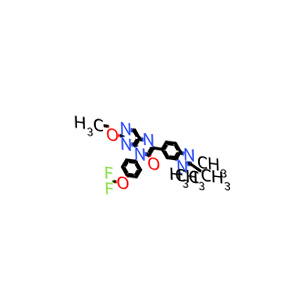 CCOc1ncc2nc(-c3ccc4nc(C(C)(C)C)n(C)c4c3)c(=O)n(-c3ccc(OC(F)F)cc3)c2n1